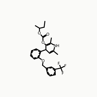 CCC(C)OC(=O)OC1=C(C)NC(C)=CC1c1ccccc1OCc1cccc(C(F)(F)F)c1